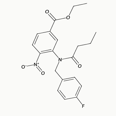 CCCC(=O)N(Cc1ccc(F)cc1)c1cc(C(=O)OCC)ccc1[N+](=O)[O-]